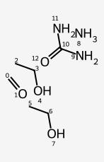 C=O.CCO.CCO.N.NC(N)=O